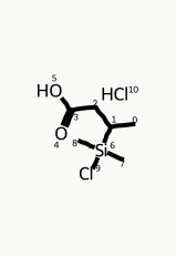 CC(CC(=O)O)[Si](C)(C)Cl.Cl